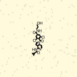 O=C(NCCCO)c1cc(Cl)c(C(=O)n2ccc3c(NC(=O)C4CC4)nccc32)c(Cl)c1